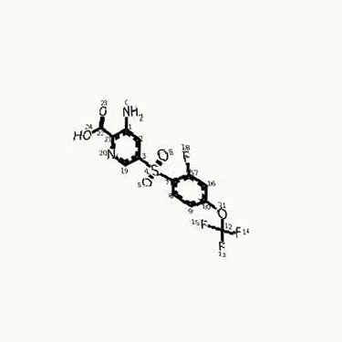 Nc1cc(S(=O)(=O)c2ccc(OC(F)(F)F)cc2F)cnc1C(=O)O